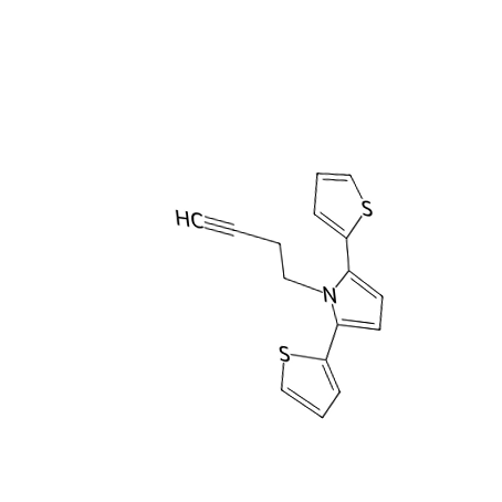 C#CCCn1c(-c2cccs2)ccc1-c1cccs1